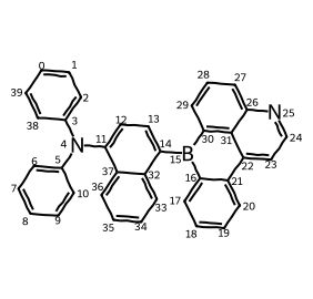 c1ccc(N(c2ccccc2)c2ccc(B3c4ccccc4-c4ccnc5cccc3c45)c3ccccc23)cc1